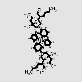 CCCCC(CC)CCN(CC(C)(C)CCC)c1ccc(F)[c]([Ti]([c]2c(F)ccc(N(CCC(CC)CCCC)CC(C)(C)CCC)c2F)([CH]2C=CC=C2)[CH]2C=CC=C2)c1F